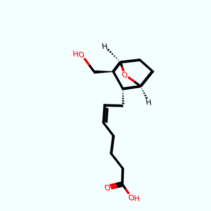 O=C(O)CCC/C=C\C[C@@H]1[C@@H](CO)[C@H]2CC[C@@H]1O2